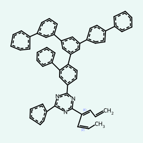 C=C/C=C(\C=C/C)c1nc(-c2ccccc2)nc(-c2ccc(-c3cc(-c4ccc(-c5ccccc5)cc4)cc(-c4cccc(-c5ccccc5)c4)c3)c(-c3ccccc3)c2)n1